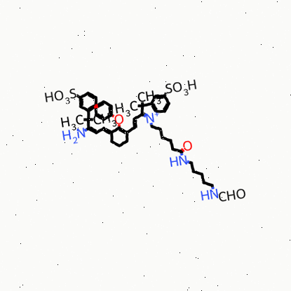 CC1(C)C(/C=C/C2=C(Oc3ccccc3)C(=C/C=C(/N)C(C)(C)c3cccc(S(=O)(=O)O)c3)/CCC2)=[N+](CCCCCC(=O)NCCCCCNC=O)c2ccc(S(=O)(=O)O)cc21